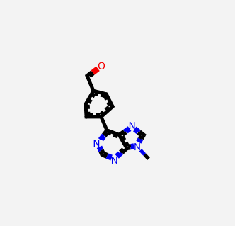 Cn1cnc2c(-c3ccc(C=O)cc3)ncnc21